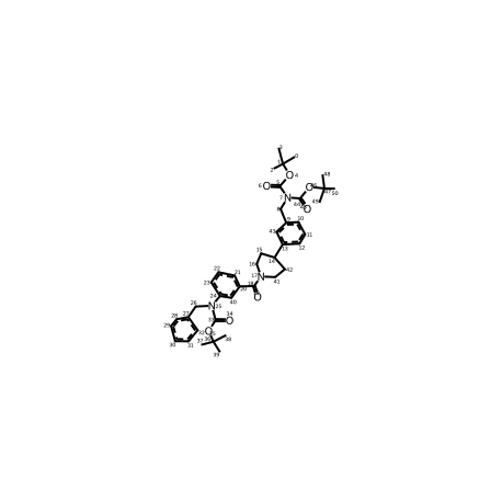 CC(C)(C)OC(=O)N(Cc1cccc(C2CCN(C(=O)c3cccc(N(Cc4ccccc4)C(=O)OC(C)(C)C)c3)CC2)c1)C(=O)OC(C)(C)C